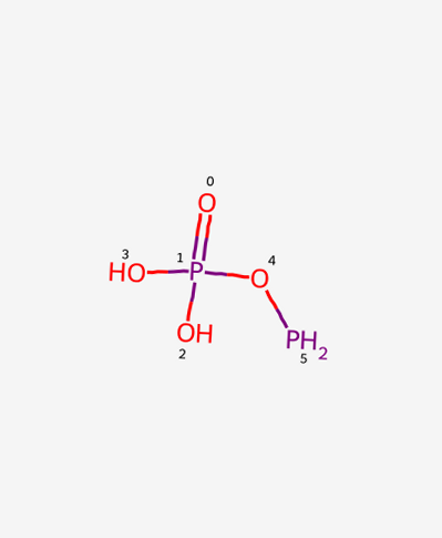 O=P(O)(O)OP